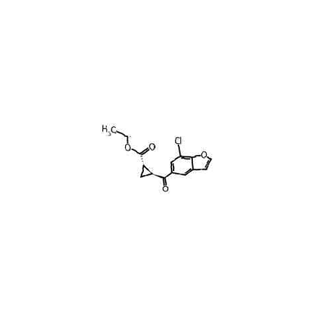 C[CH]OC(=O)[C@H]1C[C@@H]1C(=O)c1cc(Cl)c2occc2c1